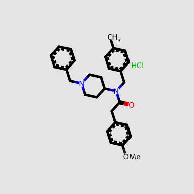 COc1ccc(CC(=O)N(Cc2ccc(C)cc2)C2CCN(Cc3ccccc3)CC2)cc1.Cl